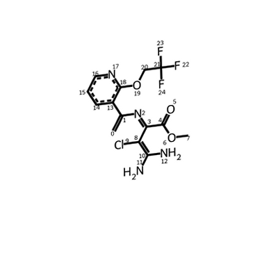 C=C(/N=C(/C(=O)OC)C(Cl)=C(N)N)c1cccnc1OCC(F)(F)F